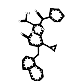 O=C(c1ccccc1)c1sc2c(C3CC3)c(Cc3cccc4ccccc34)cc(=O)n2c1C(=O)O